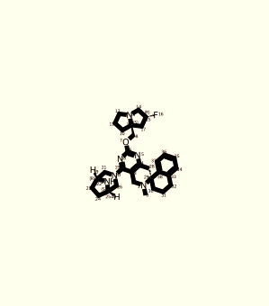 CN1Cc2c(nc(OC[C@@]34CCCN3C[C@H](F)C4)nc2N2C[C@H]3CC[C@@H](C2)N3)C[C@]12CCCc1ccccc12